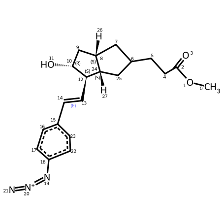 COC(=O)CCC1C[C@H]2C[C@@H](O)[C@H](/C=C/c3ccc(N=[N+]=[N-])cc3)[C@H]2C1